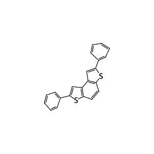 c1ccc(-c2cc3c(ccc4sc(-c5ccccc5)cc43)s2)cc1